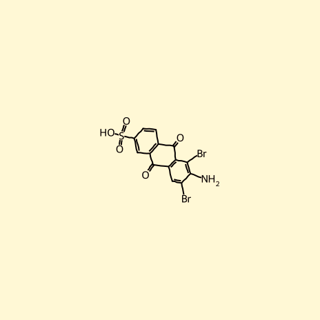 Nc1c(Br)cc2c(c1Br)C(=O)c1ccc(S(=O)(=O)O)cc1C2=O